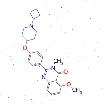 COc1cccc2nc(-c3ccc(OC4CCN(C5CCC5)CC4)cc3)n(C)c(=O)c12